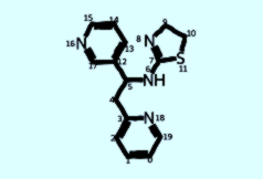 c1ccc(CC(NC2=NCCS2)c2cccnc2)nc1